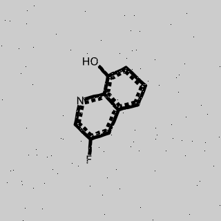 Oc1cccc2cc(F)cnc12